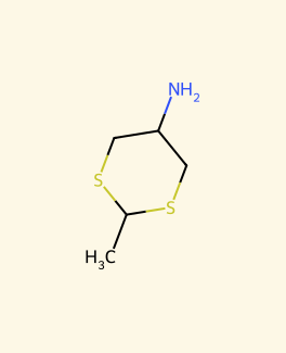 CC1SCC(N)CS1